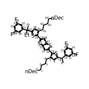 CCCCCCCCCCCCCCc1cc(C(C)c2cc(F)cc(F)c2)sc1-c1cc2sc(-c3sc(C(C)(CC)c4cc(F)cc(F)c4)cc3CCCCCCCCCCCCCC)cc2s1